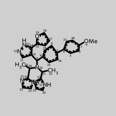 COc1ccc(-c2ccc(C(c3cn[nH]c3-c3ccco3)N(C(C)c3ncc[nH]3)C(C)c3ncc[nH]3)cc2)cc1